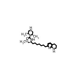 COC[C@H](CCCCCCCc1ccc2c(n1)NCCC2)NC(=O)N1[C@H](C)CNC[C@@H]1C